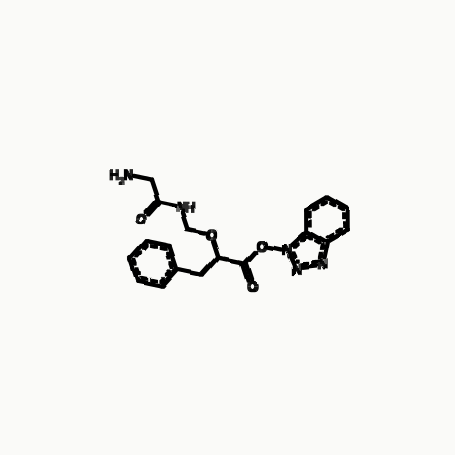 NCC(=O)NCOC(Cc1ccccc1)C(=O)On1nnc2ccccc21